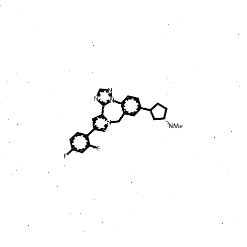 CN[C@H]1CCC(c2ccc3c(c2)Cn2cc(-c4ccc(F)cc4F)cc2-c2ncnn2-3)C1